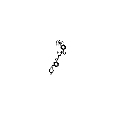 CC1CCN(Cc2cccc(OCCCNC(=O)c3cccc(NS(C)(=O)=O)c3)c2)CC1